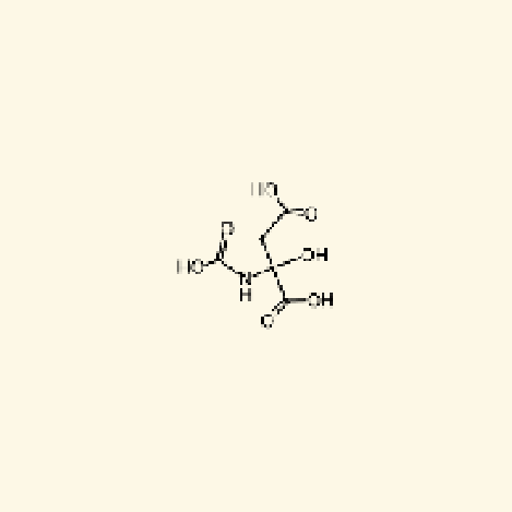 O=C(O)CC(O)(NC(=O)O)C(=O)O